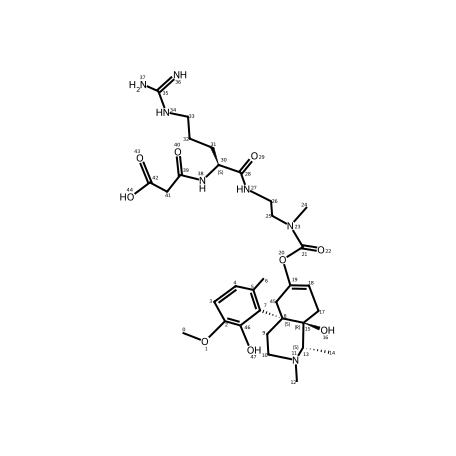 COc1ccc(C)c([C@@]23CCN(C)[C@@H](C)[C@@]2(O)CC=C(OC(=O)N(C)CCNC(=O)[C@H](CCCNC(=N)N)NC(=O)CC(=O)O)C3)c1O